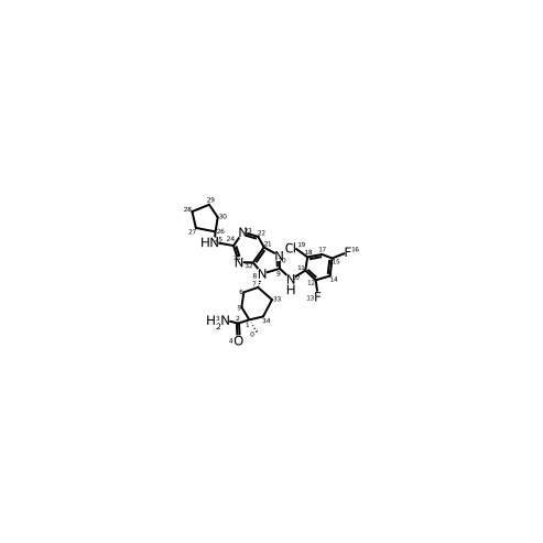 C[C@]1(C(N)=O)CC[C@H](n2c(Nc3c(F)cc(F)cc3Cl)nc3cnc(NC4CCCC4)nc32)CC1